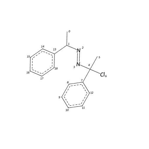 CC(N=NC(C)(Cl)c1ccccc1)c1ccccc1